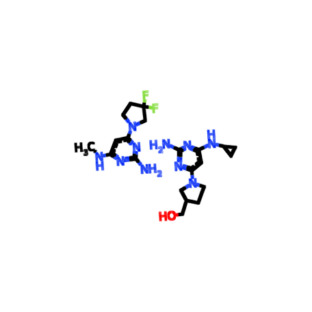 CNc1cc(N2CCC(F)(F)C2)nc(N)n1.Nc1nc(NC2CC2)cc(N2CCC(CO)C2)n1